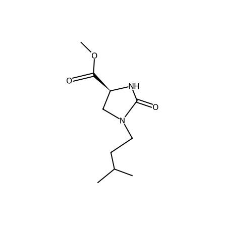 COC(=O)[C@@H]1CN(CCC(C)C)C(=O)N1